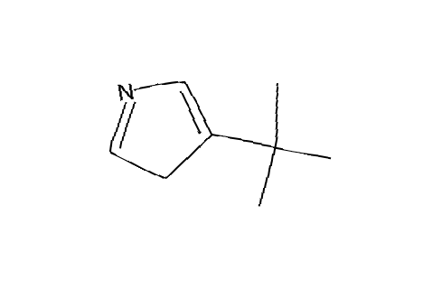 CC(C)(C)C1=CN=CC1